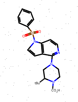 CC(C)(C)C1CN(c2nccc3c2ccn3S(=O)(=O)c2ccccc2)CCN1C(=O)O